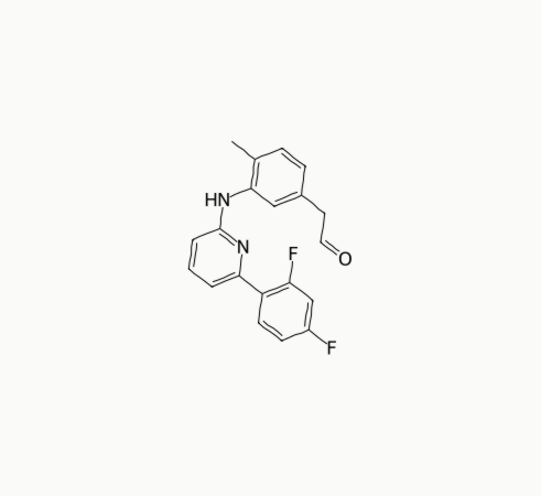 Cc1ccc(CC=O)cc1Nc1cccc(-c2ccc(F)cc2F)n1